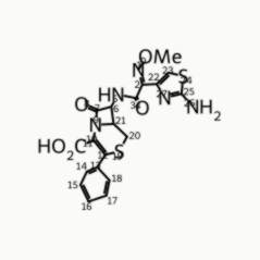 CON=C(C(=O)NC1C(=O)N2C(C(=O)O)=C(c3ccccc3)SCC12)c1csc(N)n1